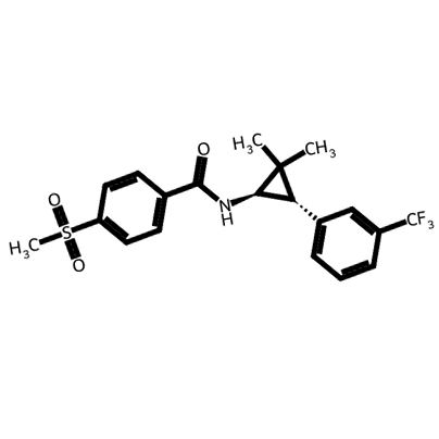 CC1(C)[C@H](NC(=O)c2ccc(S(C)(=O)=O)cc2)[C@H]1c1cccc(C(F)(F)F)c1